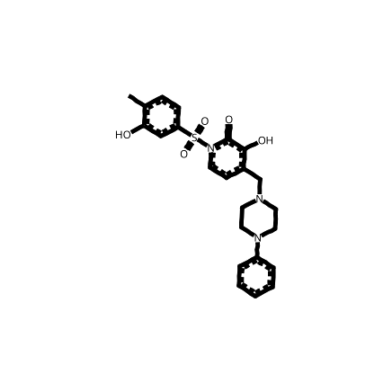 Cc1ccc(S(=O)(=O)n2ccc(CN3CCN(c4ccccc4)CC3)c(O)c2=O)cc1O